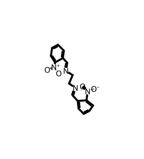 O=[N+]([O-])c1ccccc1/C=N/CC/N=C/c1ccccc1[N+](=O)[O-]